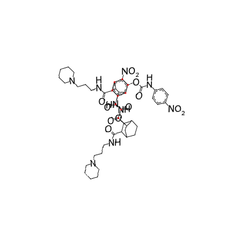 O=C(Nc1ccc([N+](=O)[O-])cc1)OC1CC2CCC1C(C(=O)NC(=O)C1C3CCC(CC3OC(=O)Nc3ccc([N+](=O)[O-])cc3)C1C(=O)NCCCN1CCCCC1)C2C(=O)NCCCN1CCCCC1